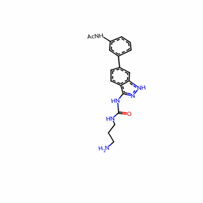 CC(=O)Nc1cccc(-c2ccc3c(NC(=O)NCCCN)n[nH]c3c2)c1